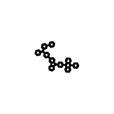 c1ccc(-c2cccc(N(c3ccccc3)c3ccc(-c4ccc5c(c4)c4ccccc4n5-c4ccc(-c5c6ccccc6c(-c6ccccc6)c6ccccc56)cc4)cc3)c2)cc1